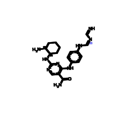 N=C/N=C\Nc1ccc(Nc2nc(N[C@@H]3CCCC[C@@H]3N)ncc2C(N)=O)cc1